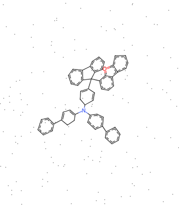 C1=CC(N(C2=CC=C(c3ccccc3)CC2)c2ccc(-c3ccccc3)cc2)CC=C1C1(c2cccc3c2oc2ccccc23)c2ccccc2-c2ccccc21